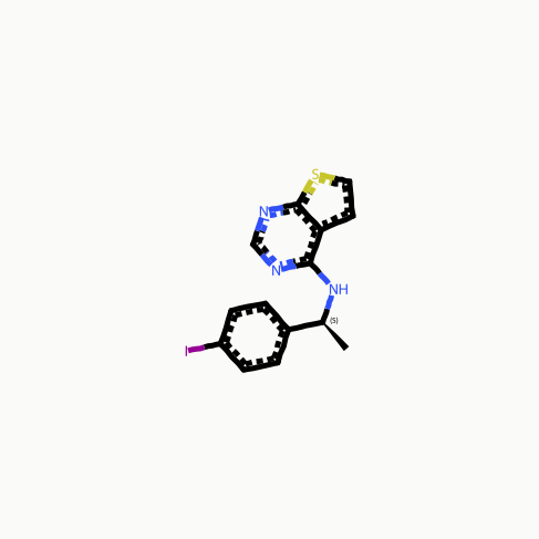 C[C@H](Nc1ncnc2sccc12)c1ccc(I)cc1